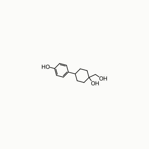 OCC1(O)CCC(c2ccc(O)cc2)CC1